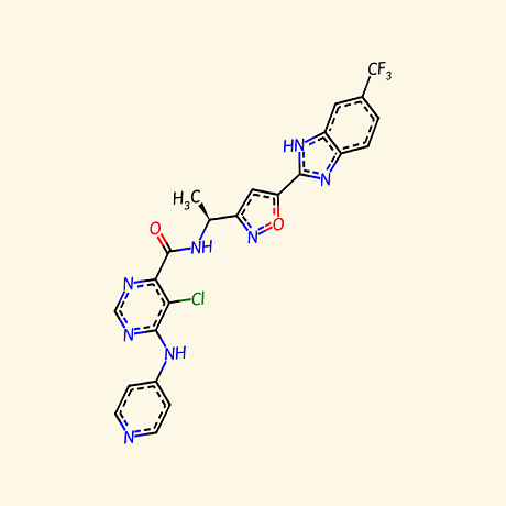 C[C@H](NC(=O)c1ncnc(Nc2ccncc2)c1Cl)c1cc(-c2nc3ccc(C(F)(F)F)cc3[nH]2)on1